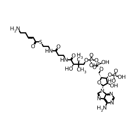 CC(C)(COP(=O)(O)OP(=O)(O)OC[C@H]1O[C@@H](n2cnc3c(N)ncnc32)[C@H](O)[C@@H]1OP(=O)(O)O)[C@@H](O)C(=O)NCCC(=O)NCCSC(=O)C=CCCN